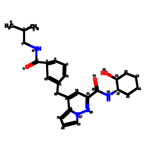 CC(C)CNC(=O)c1cccc(Cc2cc(C(=O)N[C@H]3CCCC[C@@H]3O)nn3cccc23)c1